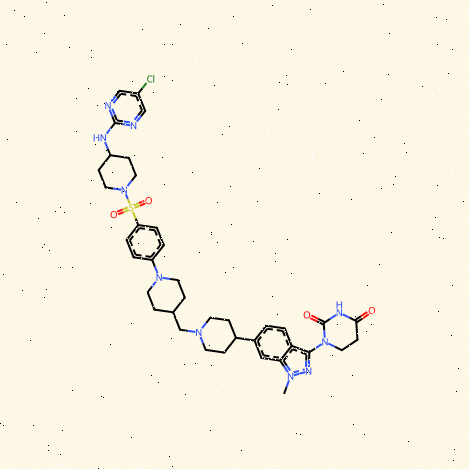 Cn1nc(N2CCC(=O)NC2=O)c2ccc(C3CCN(CC4CCN(c5ccc(S(=O)(=O)N6CCC(Nc7ncc(Cl)cn7)CC6)cc5)CC4)CC3)cc21